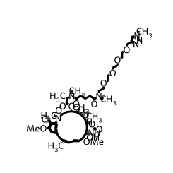 COc1cc2cc(c1Cl)N(C)C(=O)C[C@H](OC(=O)[C@H](C)N(C)C(=O)CCCC(=O)N(C)CCOCCOCCOCCOCc1cn(C)nn1)[C@]1(C)O[C@H]1[C@H](C)[C@@H]1C[C@@](O)(NC(=O)O1)[C@H](OC)/C=C/C=C(/C)C2